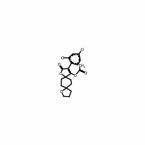 CC(=O)OC1=C(c2ccc(Cl)cc2Cl)C(=O)OC12CCC1(CCCO1)CC2